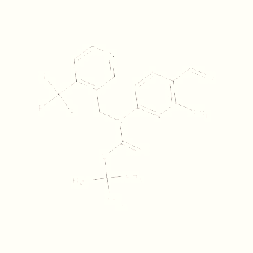 Cc1nc(N(Cc2cnccc2C(F)(F)F)C(=O)OC(C)(C)C)ccc1C=O